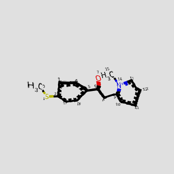 CSc1ccc(C(=O)Cc2cccc[n+]2C)cc1